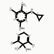 CSC1([N+](=O)[O-])C(Cl)=NCN=C1Cl.CSc1nc(Cl)c([N+](=O)[O-])c(NC2CC2)n1